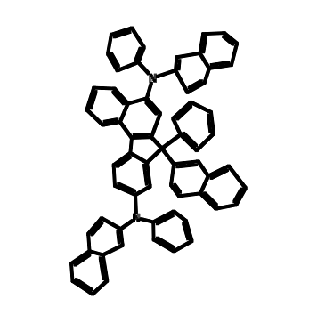 c1ccc(N(c2ccc3c(c2)C(c2ccccc2)(c2ccc4ccccc4c2)c2cc(N(c4ccccc4)c4ccc5ccccc5c4)c4ccccc4c2-3)c2ccc3ccccc3c2)cc1